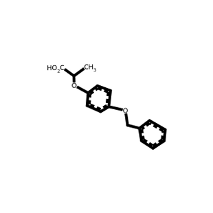 CC(Oc1ccc(OCc2ccccc2)cc1)C(=O)O